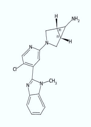 Cn1c(-c2cc(N3C[C@@H]4C(N)[C@@H]4C3)ncc2Cl)nc2ccccc21